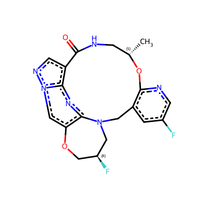 C[C@H]1CNC(=O)c2cnn3cc4c(nc23)N(Cc2cc(F)cnc2O1)C[C@@H](F)CO4